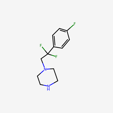 Fc1ccc(C(F)(F)CN2CCNCC2)cc1